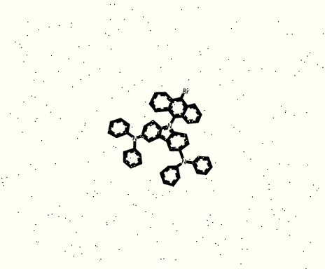 Brc1c2ccccc2c(-n2c3ccc(N(c4ccccc4)c4ccccc4)cc3c3cc(N(c4ccccc4)c4ccccc4)ccc32)c2ccccc12